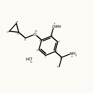 COc1cc(C(C)N)ccc1OCC1CC1.Cl